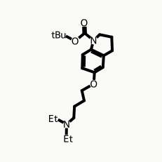 CCN(CC)CCCCOc1ccc2c(c1)CCCN2C(=O)OC(C)(C)C